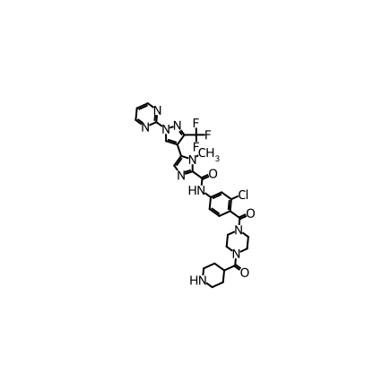 Cn1c(-c2cn(-c3ncccn3)nc2C(F)(F)F)cnc1C(=O)Nc1ccc(C(=O)N2CCN(C(=O)C3CCNCC3)CC2)c(Cl)c1